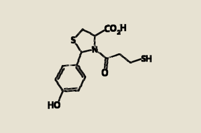 O=C(O)C1CSC(c2ccc(O)cc2)N1C(=O)CCS